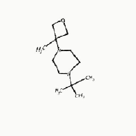 CC(C)(C)N1CCN(C2(C)COC2)CC1